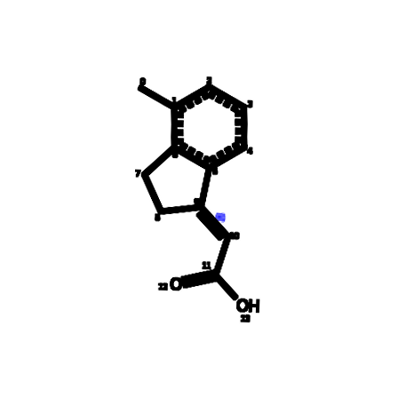 Cc1cccc2c1CC/C2=C\C(=O)O